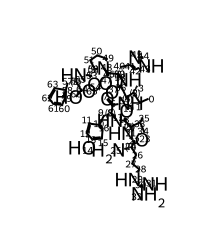 CC[C@H](C)[C@H](NC(=O)[C@H](Cc1ccc(O)cc1)NC(=O)[C@@H](NC(=O)[C@H](N)CCCNC(=N)N)C(C)C)C(=O)N[C@@H](Cc1c[nH]cn1)C(=O)N1CCC[C@H]1C(=O)N[C@@H](Cc1ccccc1)C(=O)O